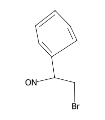 O=NC(CBr)c1ccccc1